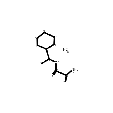 CC(N)C(=O)OC(C)C1CCCCC1.Cl